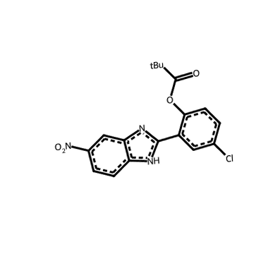 CC(C)(C)C(=O)Oc1ccc(Cl)cc1-c1nc2cc([N+](=O)[O-])ccc2[nH]1